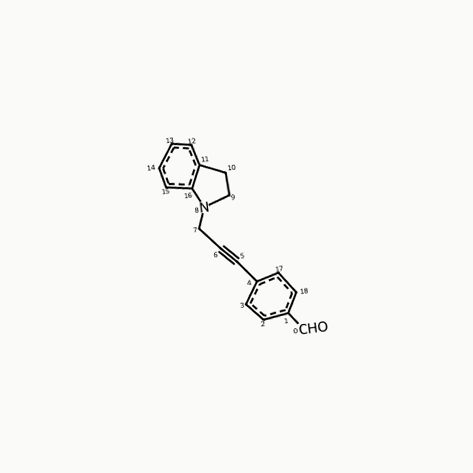 O=Cc1ccc(C#CCN2CCc3ccccc32)cc1